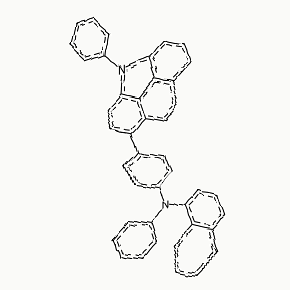 c1ccc(N(c2ccc(-c3ccc4c5c3ccc3cccc(c35)n4-c3ccccc3)cc2)c2cccc3ccccc23)cc1